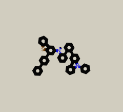 CN(c1cc(-c2ccc(-c3ccccc3)cc2)c2sc3ccccc3c2c1)c1ccccc1-c1ccccc1-c1ccc2c(c1)c1ccccc1n2-c1ccccc1